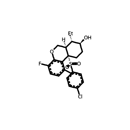 CC[C@@H]1[C@@H](O)CC[C@@]2(S(=O)(=O)c3ccc(Cl)cc3)c3c(F)ccc(F)c3OC[C@@H]12